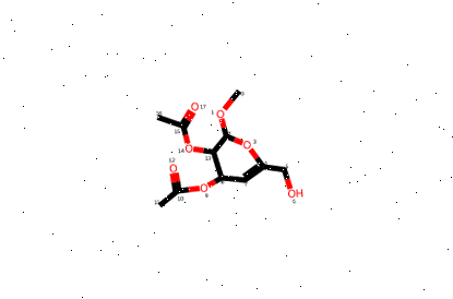 COC1OC(CO)=CC(OC(C)=O)C1OC(C)=O